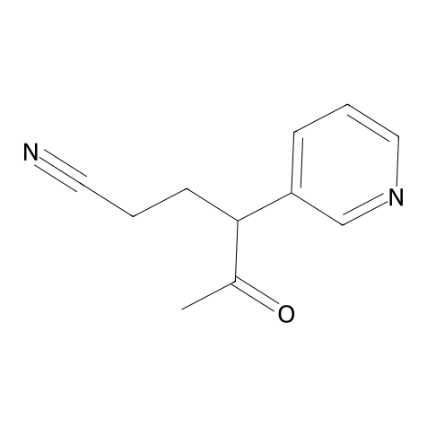 CC(=O)C(CCC#N)c1cccnc1